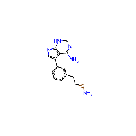 NSCCc1cccc(-c2c[nH]c3c2C(N)=NCN3)c1